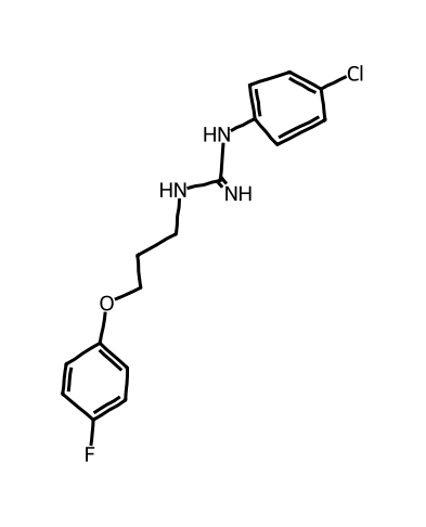 N=C(NCCCOc1ccc(F)cc1)Nc1ccc(Cl)cc1